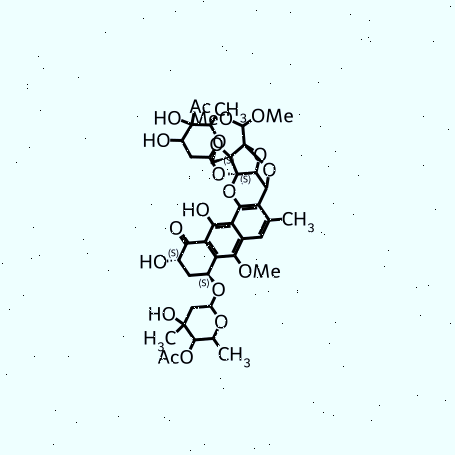 COc1c2c(c(O)c3c4c(c(C)cc13)C1OC3(C(OC)OC)OC1[C@@](OC1CC(O)C(O)(C(C)=O)C(C)O1)(O4)[C@@]31CO1)C(=O)[C@@H](O)C[C@@H]2OC1CC(C)(O)C(OC(C)=O)C(C)O1